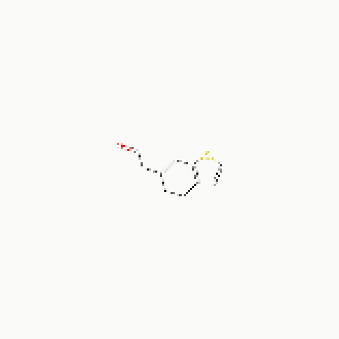 O=[C]CC1=Cc2sccc2CC1